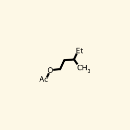 [CH2]C(=O)OCCC(C)CC